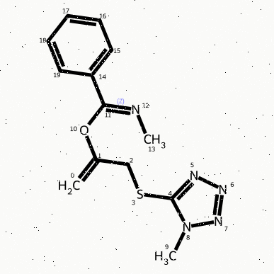 C=C(CSc1nnnn1C)O/C(=N\C)c1ccccc1